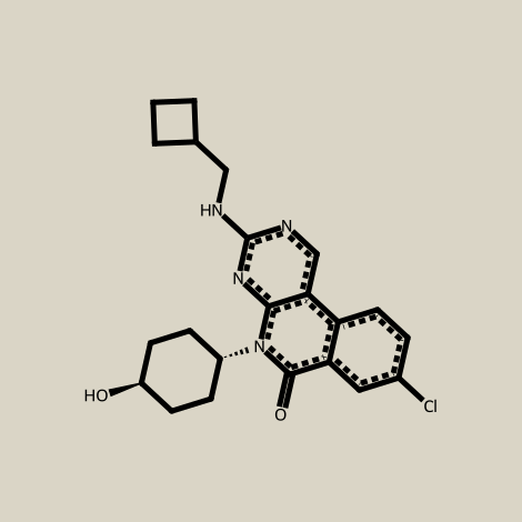 O=c1c2cc(Cl)ccc2c2cnc(NCC3CCC3)nc2n1[C@H]1CC[C@H](O)CC1